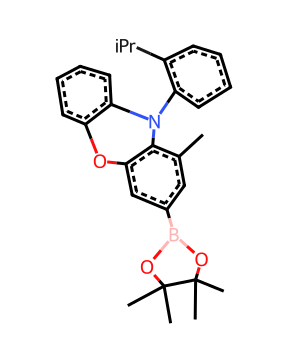 Cc1cc(B2OC(C)(C)C(C)(C)O2)cc2c1N(c1ccccc1C(C)C)c1ccccc1O2